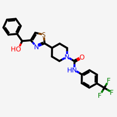 O=C(Nc1ccc(C(F)(F)F)cc1)N1CCC(c2nc(C(O)c3ccccc3)cs2)CC1